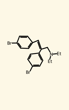 CCN(CC)CC(=Cc1ccc(Br)cc1)c1ccc(Br)cc1